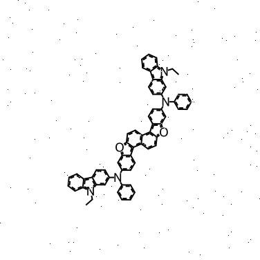 CCn1c2ccccc2c2ccc(N(c3ccccc3)c3ccc4c(c3)oc3ccc5c(ccc6oc7cc(N(c8ccccc8)c8ccc9c%10ccccc%10n(CC)c9c8)ccc7c65)c34)cc21